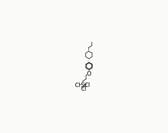 CCC[C@H]1CC[C@H](c2ccc(OCCC[Si](Cl)(Cl)Cl)cc2)CC1